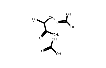 CC(=O)C(C)C.O=C(O)O.O=C(O)O